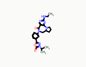 CCNc1ncc2c(n1)N1CCCC1CN(c1cccc(-c3nn(C(C)C)c(=O)o3)c1)C2=O